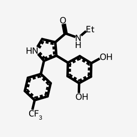 CCNC(=O)c1c[nH]c(-c2ccc(C(F)(F)F)cc2)c1-c1cc(O)cc(O)c1